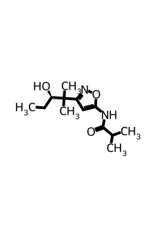 CC[C@@H](O)C(C)(C)c1cc(NC(=O)C(C)C)on1